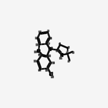 CC1(C)CCC(N2c3ccccc3Oc3ccc(Cl)cc32)=N1